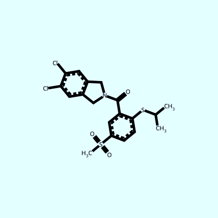 CC(C)Sc1ccc(S(C)(=O)=O)cc1C(=O)N1Cc2cc(Cl)c(Cl)cc2C1